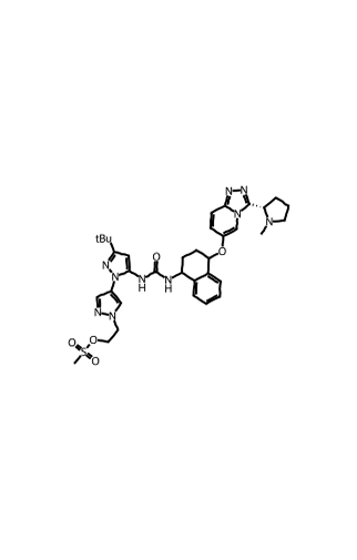 CN1CCC[C@H]1c1nnc2ccc(OC3CCC(NC(=O)Nc4cc(C(C)(C)C)nn4-c4cnn(CCOS(C)(=O)=O)c4)c4ccccc43)cn12